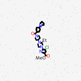 CC[C@H]1CN(c2ncc(C(=O)OC)cc2Cl)CCN1C1CCN(C(=O)c2ccc(-n3cccc3)cc2)CC1